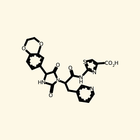 O=C(O)c1csc(NC(=O)C(Cc2cccnc2)N2C(=O)NC(c3ccc4c(c3)OCCO4)C2=O)n1